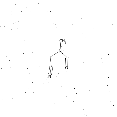 CN([C]=O)CC#N